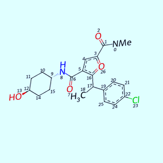 CNC(=O)c1cc(C(=O)N[C@H]2CC[C@H](O)CC2)c(C(C)c2ccc(Cl)cc2)o1